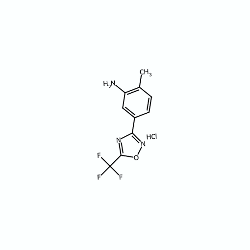 Cc1ccc(-c2noc(C(F)(F)F)n2)cc1N.Cl